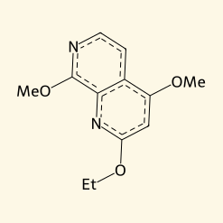 CCOc1cc(OC)c2ccnc(OC)c2n1